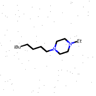 CCC(C)CCCCN1CCN(CC)CC1